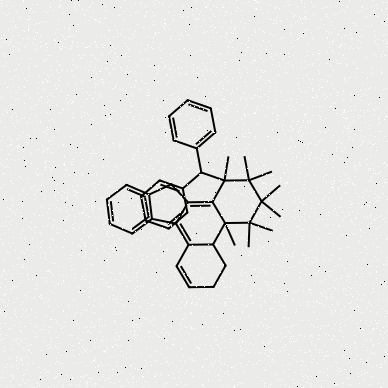 CC12C(=C3Cc4ccccc4C3=C3C=CCCC31)C(C)(C(c1ccccc1)c1ccccc1)C(C)(C)C(C)(C)C2(C)C